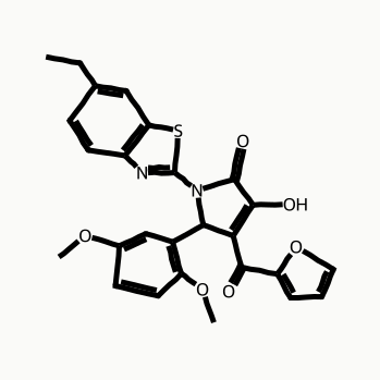 CCc1ccc2nc(N3C(=O)C(O)=C(C(=O)c4ccco4)C3c3cc(OC)ccc3OC)sc2c1